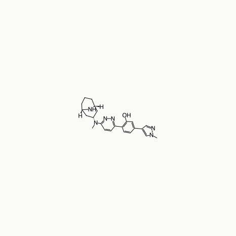 CN(c1ccc(-c2ccc(-c3cnn(C)c3)cc2O)nn1)[C@H]1C[C@H]2CCC[C@@H](C1)N2